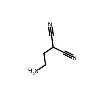 N#CC(C#N)CCN